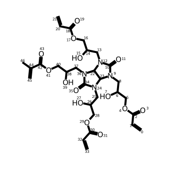 C=CC(=O)OCC(O)CN1C(=O)N(CC(O)COC(=O)C=C)C2C1N(CC(O)COC(=O)C=C)C(=O)N2CC(O)COC(=O)C(=C)C